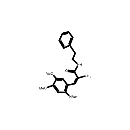 CNc1cc(OC)c(OC)cc1C=C(C)C(=O)NCCc1ccccc1